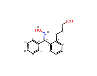 OCCCc1ccccc1C(=NO)c1ccccc1